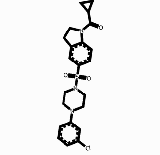 O=C(C1CC1)N1CCc2cc(S(=O)(=O)N3CCN(c4cccc(Cl)c4)CC3)ccc21